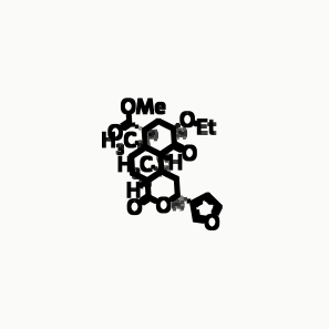 CCO[C@H]1C[C@@H](C(=O)OC)[C@]2(C)CC[C@H]3C(=O)O[C@@H](c4ccoc4)C[C@]3(C)[C@H]2C1=O